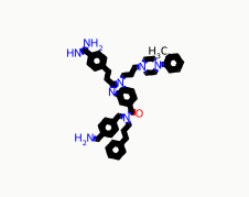 Cc1ccccc1N1CCN(CCCn2c(CCc3ccc(C(=N)N)cc3)nc3cc(C(=O)N(CCCc4ccccc4)Cc4ccc(CN)cc4)ccc32)CC1